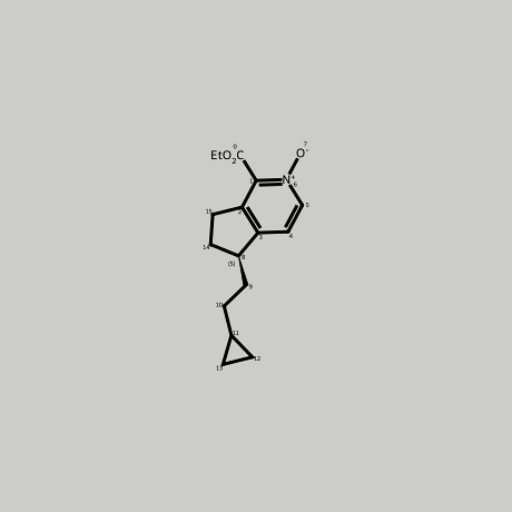 CCOC(=O)c1c2c(cc[n+]1[O-])[C@@H](CCC1CC1)CC2